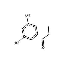 CCC=O.Oc1cccc(O)c1